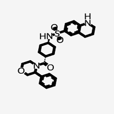 O=C([C@H]1CC[C@H](NS(=O)(=O)c2ccc3c(c2)CCCN3)CC1)N1CCOCC1c1ccccc1